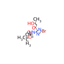 CC/C(O)=C/C(=O)c1nc(Br)cnc1NCC(=O)OC(C)(C)C